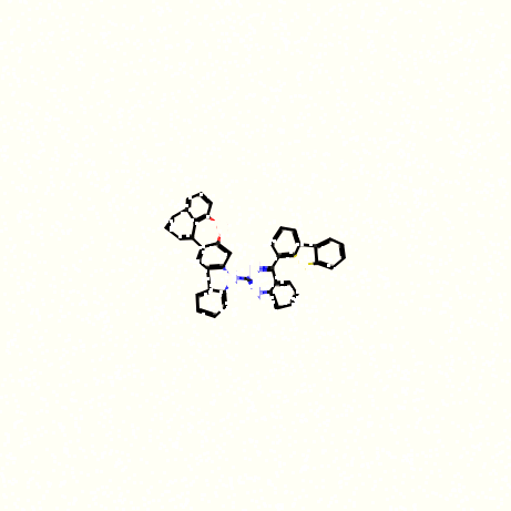 c1cc2c3c(cccc3c1)-c1cc3c4ccccc4n(-c4nc(-c5cccc6c5sc5ccccc56)c5ccccc5n4)c3cc1O2